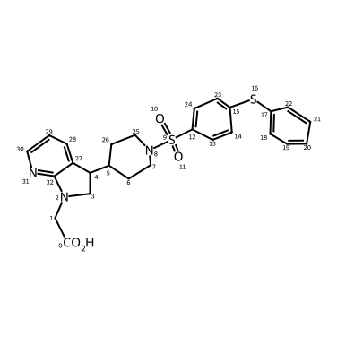 O=C(O)CN1CC(C2CCN(S(=O)(=O)c3ccc(Sc4ccccc4)cc3)CC2)c2cccnc21